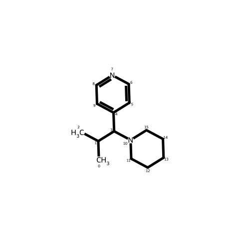 CC(C)C(c1ccncc1)N1CCCCC1